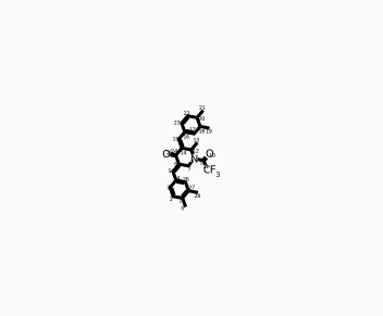 Cc1ccc(/C=C2\CN(C(=O)C(F)(F)F)C(C)/C(=C\C3=CC(C)C(C)C=C3)C2=O)cc1C